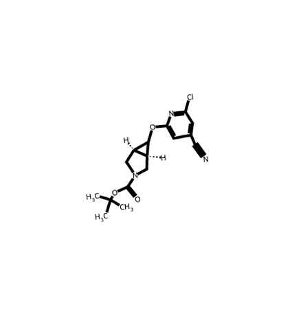 CC(C)(C)OC(=O)N1C[C@@H]2C(Oc3cc(C#N)cc(Cl)n3)[C@@H]2C1